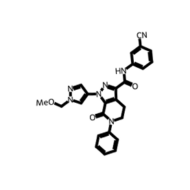 COCn1cc(-n2nc(C(=O)Nc3cccc(C#N)c3)c3c2C(=O)N(c2ccccc2)CC3)cn1